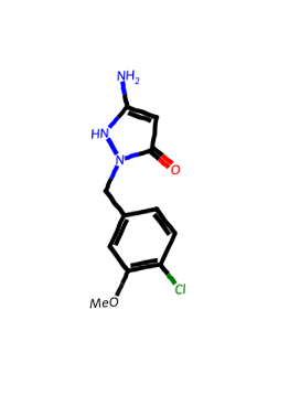 COc1cc(Cn2[nH]c(N)cc2=O)ccc1Cl